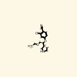 CCOC[C@@H](Oc1ccc(C#N)c(Cl)c1)[C@@H]1CCNC1